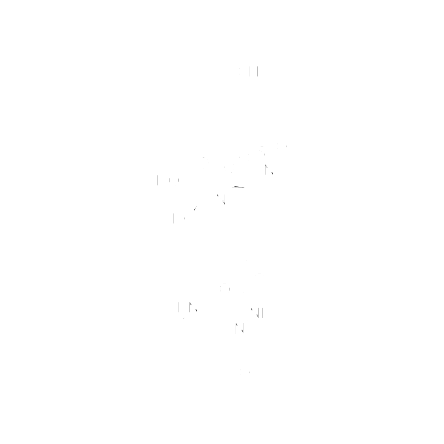 Cc1ccc(S(=O)(=O)N2CCC[C@H]2C(=O)N(c2ccc(OC(=O)N[N+]3(CCN)CCOCC3)cc2)[C@@H](C)C(=O)O)cc1